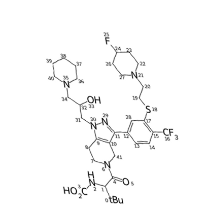 CC(C)(C)C(NC(=O)O)C(=O)N1CCc2c(c(-c3ccc(C(F)(F)F)c(SCCN4CCC(F)CC4)c3)nn2CC(O)CN2CCCCC2)C1